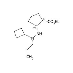 C=CCN(N[C@@H]1CCC[C@@H]1C(=O)OCC)C1CCC1